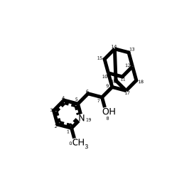 Cc1cccc(CC(O)C2C3CC4CC(C3)CC2C4)n1